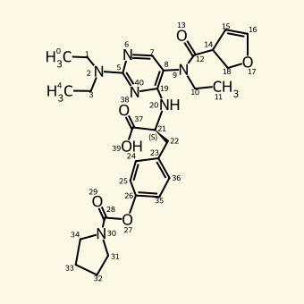 CCN(CC)c1ncc(N(CC)C(=O)C2C=COC2)c(N[C@@H](Cc2ccc(OC(=O)N3CCCC3)cc2)C(=O)O)n1